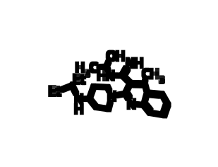 CCC(CC)NC1CCN(c2nc3ccccc3c(C)c2C(=N)NC(C)O)CC1